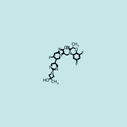 Cc1nc2cc(F)c(-c3cnc(N4CC(C)(O)C4)nc3)cn2c1CN1C(=O)[C@H](C)Oc2c(F)cc(F)cc21